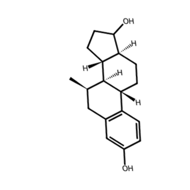 C[C@@H]1Cc2cc(O)ccc2[C@H]2CC[C@@H]3C(O)CC[C@H]3[C@H]12